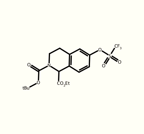 CCOC(=O)C1c2ccc(OS(=O)(=O)C(F)(F)F)cc2CCN1C(=O)OC(C)(C)C